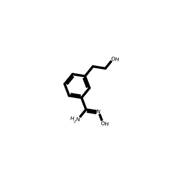 NC(=NO)c1cccc(CCO)c1